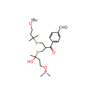 CP(C)OCCC(C)(O)SCC(CSC(C)(C)CCOC(C)(C)C)C(=O)c1ccc(C=O)cc1